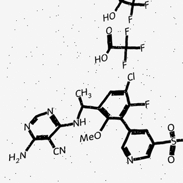 COc1c(C(C)Nc2ncnc(N)c2C#N)cc(Cl)c(F)c1-c1cncc(S(C)(=O)=O)c1.O=C(O)C(F)(F)F.O=C(O)C(F)(F)F